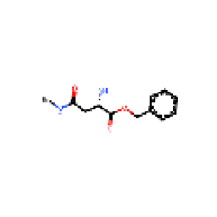 CC(C)(C)NC(=O)C[C@H](N)C(=O)OCc1ccccc1